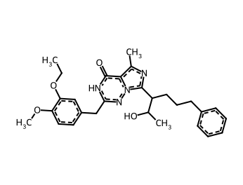 CCOc1cc(Cc2nn3c(C(CCCc4ccccc4)C(C)O)nc(C)c3c(=O)[nH]2)ccc1OC